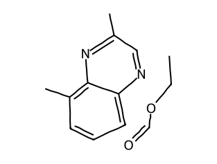 CCOC=O.Cc1cnc2cccc(C)c2n1